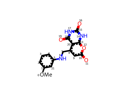 COc1cccc(NCc2cc(=O)oc3[nH]c(=O)[nH]c(=O)c23)c1